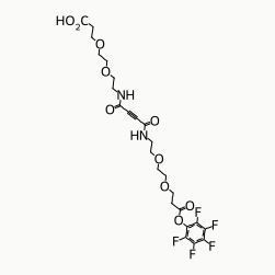 O=C(O)CCOCCOCCNC(=O)C#CC(=O)NCCOCCOCCC(=O)Oc1c(F)c(F)c(F)c(F)c1F